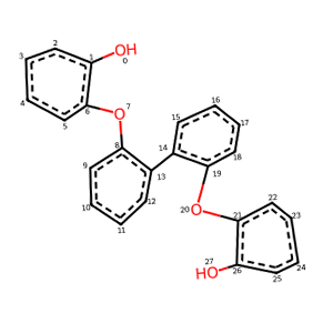 Oc1ccccc1Oc1ccccc1-c1ccccc1Oc1ccccc1O